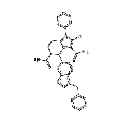 NC(=O)c1c2c(n(-c3ccccc3)c1Cl)CCN(C(N)=O)C2c1ccc2c(ccn2Cc2ccccc2)c1